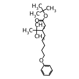 CC(C)(C)OC(=O)CC(CCCCCOc1ccccc1)C(C)(C)C